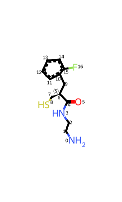 NCCNC(=O)[C@@H](CS)Cc1ccccc1F